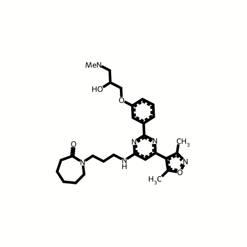 CNCC(O)COc1cccc(-c2nc(NCCCN3CCCCCC3=O)cc(-c3c(C)noc3C)n2)c1